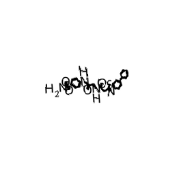 NS(=O)(=O)c1ccc(NC(=O)CNC(=O)Cc2nc3ccc(-c4ccccc4)cc3s2)cc1